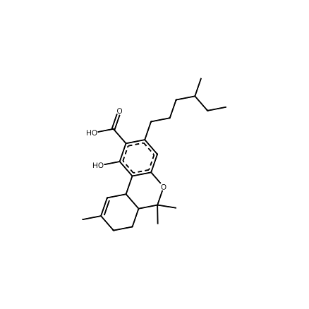 CCC(C)CCCc1cc2c(c(O)c1C(=O)O)C1C=C(C)CCC1C(C)(C)O2